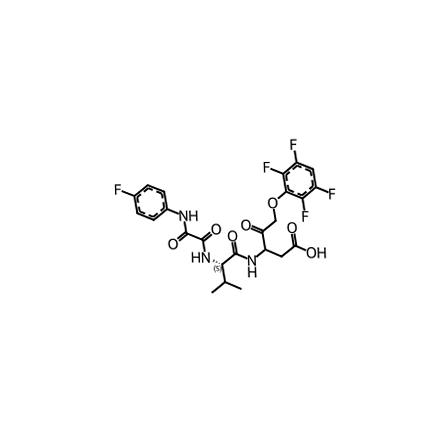 CC(C)[C@H](NC(=O)C(=O)Nc1ccc(F)cc1)C(=O)NC(CC(=O)O)C(=O)COc1c(F)c(F)cc(F)c1F